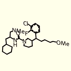 CNCC(CC1CCCCC1)NC(=O)N1CCCC(C(CCCCOC)c2cccc(Cl)c2F)C1